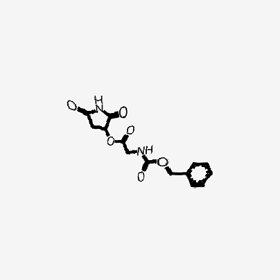 O=C1CC(OC(=O)CNC(=O)OCc2ccccc2)C(=O)N1